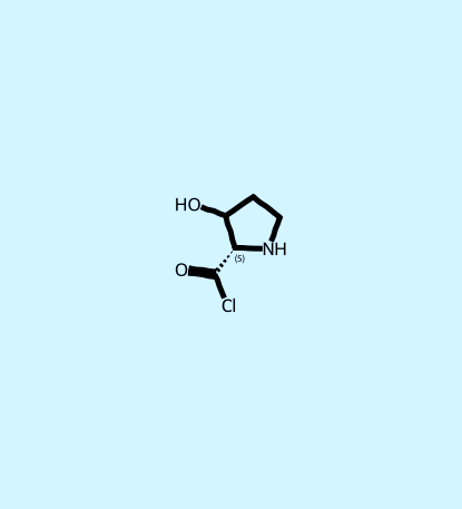 O=C(Cl)[C@H]1NCCC1O